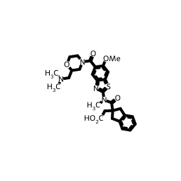 COc1cc2sc(N(C)C(=O)C3(CC(=O)O)Cc4ccccc4C3)nc2cc1C(=O)N1CCOC(CN(C)C)C1